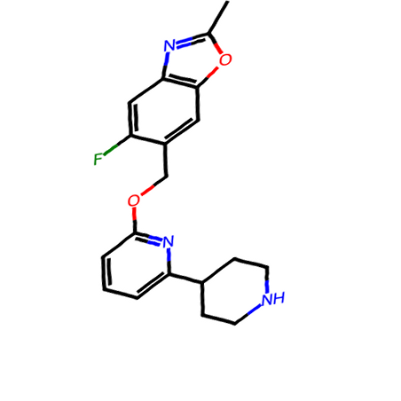 Cc1nc2cc(F)c(COc3cccc(C4CCNCC4)n3)cc2o1